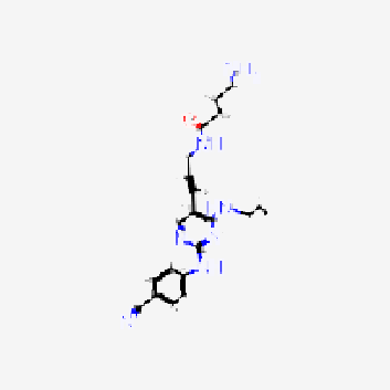 CCCNc1nc(Nc2ccc(C#N)cc2)ncc1C#CCNC(=O)CCCN